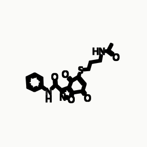 CC(=O)NCCCSC1=CC(=O)c2onc(C(=O)Nc3ccccc3)c2C1=O